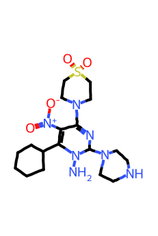 NN1C(C2CCCCC2)=C([N+](=O)[O-])C(N2CCS(=O)(=O)CC2)=NC1N1CCNCC1